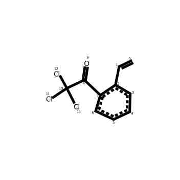 C=Cc1ccccc1C(=O)C(Cl)(Cl)Cl